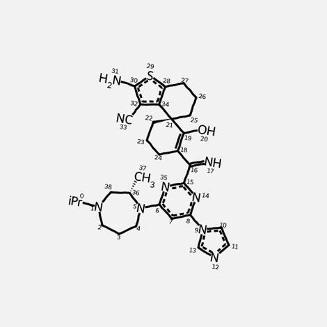 CC(C)N1CCCN(c2cc(-n3ccnc3)nc(C(=N)C3=C(O)[C@@]4(CCC3)CCCc3sc(N)c(C#N)c34)n2)[C@@H](C)C1